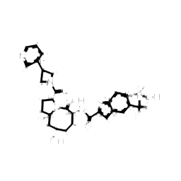 O=C(N[C@H]1CC[C@H](O)C[C@H]2CC[C@@H](C(=O)N3CC(c4cccnc4)C3)N2C1=O)c1cc2cc(C(F)(F)P(=O)(O)O)ccc2s1